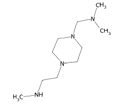 CNCCN1CCN(CN(C)C)CC1